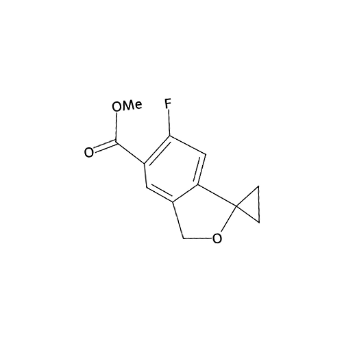 COC(=O)c1cc2c(cc1F)C1(CC1)OC2